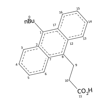 CCCCc1c2ccccc2c(CCC(=O)O)c2ccccc12